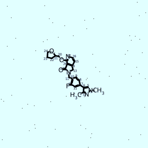 Cc1nn(C)cc1-c1ccc(CN2Cc3ccnc(OCC4CCCO4)c3C2=O)c(F)c1